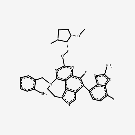 CO[C@H]1CCN(C)[C@H]1COc1nc2c3c(n1)c(F)c(-c1ccc(F)c4sc(N)nc14)c1cnn(c13)CCN2Cc1cccnc1N